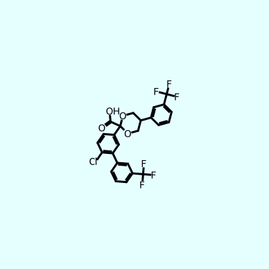 O=C(O)C1(c2ccc(Cl)c(-c3cccc(C(F)(F)F)c3)c2)OCC(c2cccc(C(F)(F)F)c2)CO1